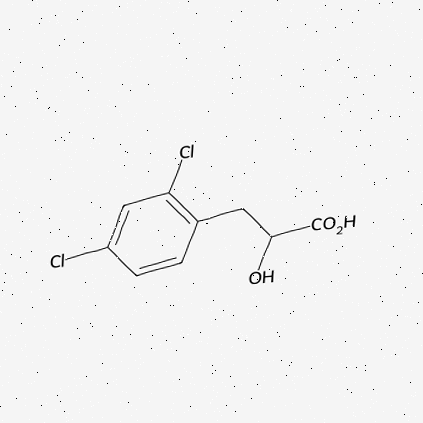 O=C(O)C(O)Cc1ccc(Cl)cc1Cl